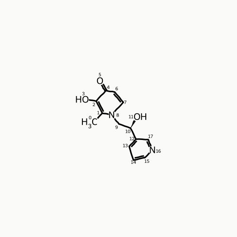 Cc1c(O)c(=O)ccn1C[C@@H](O)c1cccnc1